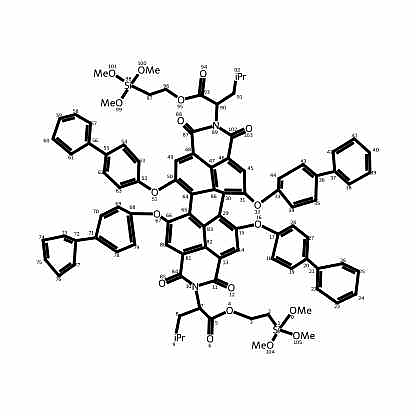 CO[Si](CCOC(=O)C(CC(C)C)N1C(=O)c2cc(Oc3ccc(-c4ccccc4)cc3)c3c4c(Oc5ccc(-c6ccccc6)cc5)cc5c6c(cc(Oc7ccc(-c8ccccc8)cc7)c(c7c(Oc8ccc(-c9ccccc9)cc8)cc(c2c37)C1=O)c64)C(=O)N(C(CC(C)C)C(=O)OCC[Si](OC)(OC)OC)C5=O)(OC)OC